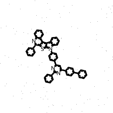 c1ccc(-c2ccc(-c3cc(-c4ccc(-n5c6ccccc6c6c7c(sc65)c(-c5ccccc5)nc5ccccc57)cc4)nc(-c4ccccc4)n3)cc2)cc1